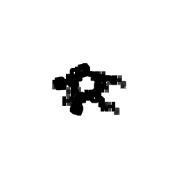 CN1C(=O)C(CCCCN)NC(=O)C(CCCN)NCc2cccnc2Sc2c(Cl)cc(-c3ccncc3)cc2CNC(=O)C1Cc1c[nH]c2ccccc12